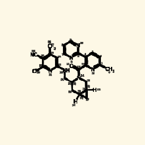 Cc1ccc(-c2ncccn2)c(C(=O)N2C[C@@H]3C[C@@H]3C[C@H]2CNc2cc(C(F)(F)F)c(C#N)c(Cl)n2)n1